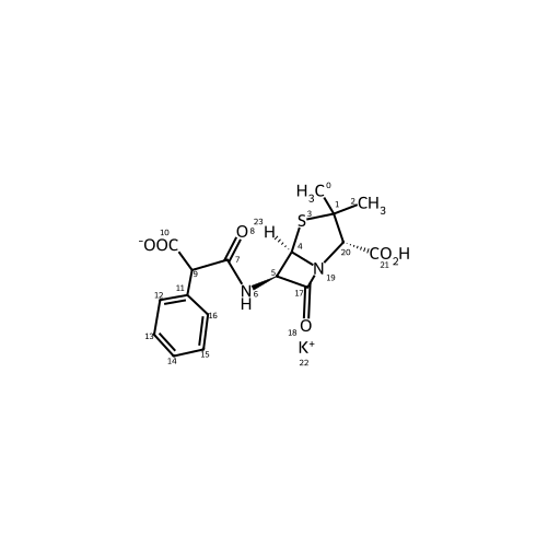 CC1(C)S[C@@H]2[C@H](NC(=O)C(C(=O)[O-])c3ccccc3)C(=O)N2[C@H]1C(=O)O.[K+]